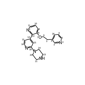 c1cncc(CCOc2cccnc2-c2ccnc(N3CCNCC3)c2)c1